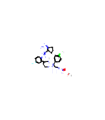 C[C@@H]1CCc2ncnc(N3C[C@]4(CCCN(C(CCNC(=O)OC(C)(C)C)c5ccc(Cl)cc5)C4)c4cc(F)ccc43)c21